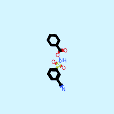 N#Cc1cccc(S(=O)(=O)NOC(=O)C2CCCCC2)c1